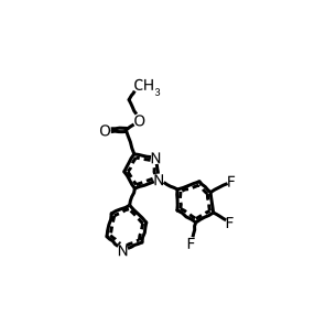 CCOC(=O)c1cc(-c2ccncc2)n(-c2cc(F)c(F)c(F)c2)n1